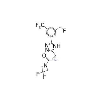 O=C(/C=C\c1nnc(-c2cc(CF)cc(C(F)(F)F)c2)[nH]1)N1CC(F)(F)C1